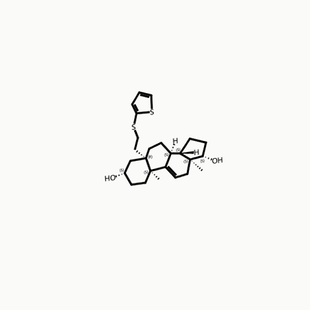 C[C@]12CC=C3[C@@H](CC[C@]4(CCSc5cccs5)C[C@@H](O)CC[C@]34C)[C@@H]1CC[C@@H]2O